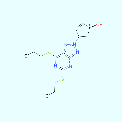 CCCSc1nc(SCCC)c2nn(C3C=C[C@@H](O)C3)nc2n1